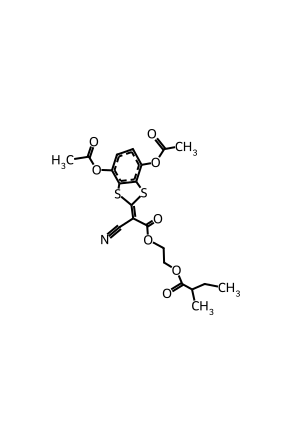 CCC(C)C(=O)OCCOC(=O)C(C#N)=C1Sc2c(OC(C)=O)ccc(OC(C)=O)c2S1